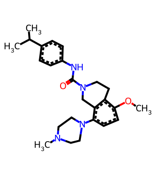 COc1ccc(N2CCN(C)CC2)c2c1CCN(C(=O)Nc1ccc(C(C)C)cc1)C2